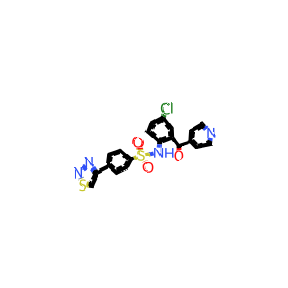 O=C(c1ccncc1)c1cc(Cl)ccc1NS(=O)(=O)c1ccc(-c2csnn2)cc1